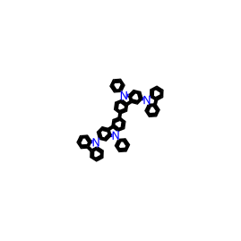 c1ccc(-n2c3ccc(-c4ccc5c(c4)c4ccc(-n6c7ccccc7c7ccccc76)cc4n5-c4ccccc4)cc3c3cc(-n4c5ccccc5c5ccccc54)ccc32)cc1